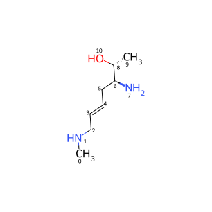 CNC/C=C/C[C@H](N)[C@@H](C)O